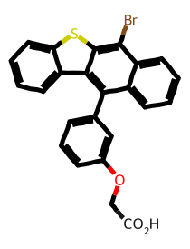 O=C(O)COc1cccc(-c2c3ccccc3c(Br)c3sc4ccccc4c23)c1